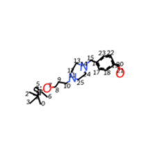 CC(C)(C)[Si](C)(C)OCCCN1CCN(Cc2ccc(C=O)cc2)CC1